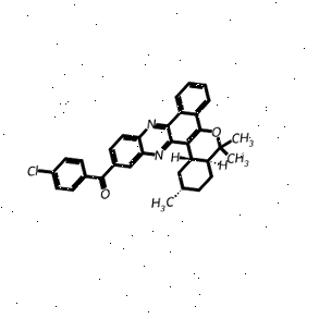 C[C@H]1CC[C@H]2[C@H](C1)c1c(c3ccccc3c3nc4ccc(C(=O)c5ccc(Cl)cc5)cc4nc13)OC2(C)C